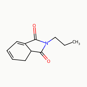 CCCN1C(=O)C2=CC=CCC2C1=O